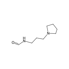 O=CNCCCN1CCCC1